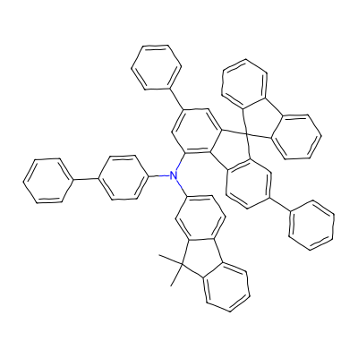 CC1(C)c2ccccc2-c2ccc(N(c3ccc(-c4ccccc4)cc3)c3cc(-c4ccccc4)cc4c3-c3ccc(-c5ccccc5)cc3C43c4ccccc4-c4ccccc43)cc21